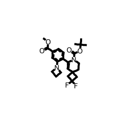 COC(=O)c1ccc(C2=CC3(CCN2C(=O)OC(C)(C)C)CC(F)(F)C3)c(N2CCC2)c1